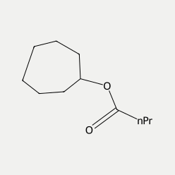 [CH2]CCC(=O)OC1CCCCCC1